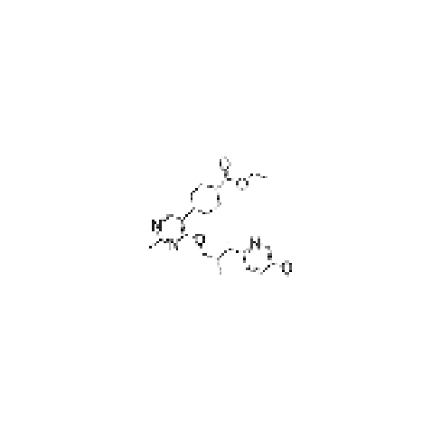 CCOC(=O)C1CCC(c2cnc(C)nc2OC[C@@H](C)[C@H](C)c2ccc(OC)cn2)CC1